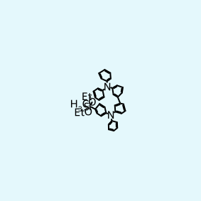 CCO[Si](C)(OCC)c1ccc(N(c2ccccc2)c2cccc(-c3cccc(N(c4ccccc4)c4ccccc4)c3)c2)cc1